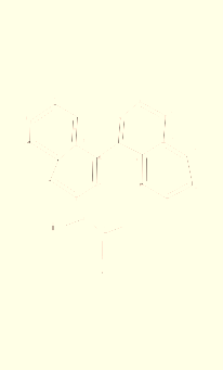 CC(C)OP(O)O.c1ccc2c(-c3cccc4ccccc34)cccc2c1